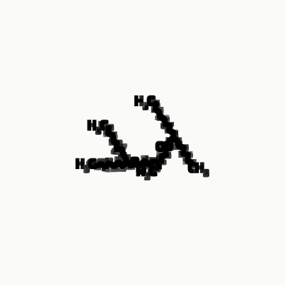 CCCCCCCCCCC(CCCCCCCC)COC(=O)CCCN(CC)CCCC(=O)OCC(CCCCCCCC)CCCCCCCCCC